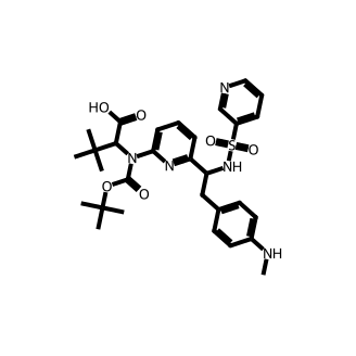 CNc1ccc(CC(NS(=O)(=O)c2cccnc2)c2cccc(N(C(=O)OC(C)(C)C)C(C(=O)O)C(C)(C)C)n2)cc1